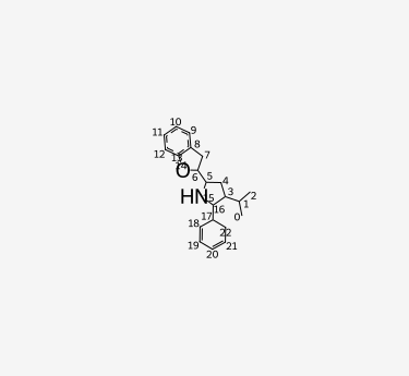 CC(C)C1CC(C2Cc3ccccc3O2)NC1C1C=CC=CC1